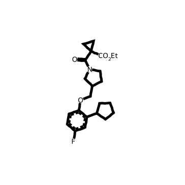 CCOC(=O)C1(C(=O)N2CCC(COc3ccc(F)cc3C3CCCC3)C2)CC1